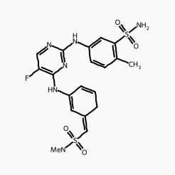 CNS(=O)(=O)C=C1C=C(Nc2nc(Nc3ccc(C)c(S(N)(=O)=O)c3)ncc2F)C=CC1